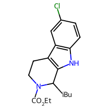 CCOC(=O)N1CCc2c([nH]c3ccc(Cl)cc23)C1C(C)CC